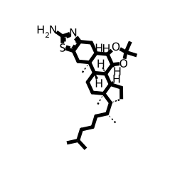 CC(C)CCC[C@@H](C)[C@H]1CC[C@H]2[C@@H]3[C@H]4OC(C)(C)O[C@@H]4[C@H]4Cc5nc(N)sc5C[C@]4(C)[C@H]3CC[C@]12C